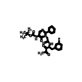 CC(=O)C(=O)C(Cc1cccc(F)c1)NC(=O)Cn1c(-c2ccccc2)ncc(NC(=O)OC(C)(C)C)c1=O